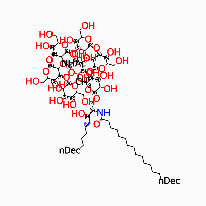 CCCCCCCCCCCCC/C=C/[C@@H](O)[C@H](CO[C@@H]1OC(CO)[C@@H](O[C@@H]2OC(CO)[C@H](O)[C@H](O[C@H]3OC(CO)[C@H](O)[C@H](O[C@@H]4OC(CO)[C@H](O)[C@H](O[C@@H]5OC(CO)[C@H](O)[C@H](O[C@H]6OC(CO)[C@H](O)[C@H](O)C6O)C5O[C@H]5OC(C)[C@@H](O)C(O)[C@@H]5O)C4NC(C)=O)C3O)C2O)[C@H](O)C1O)NC(=O)CCCCCCCCCCCCCCCCCCCCCCC